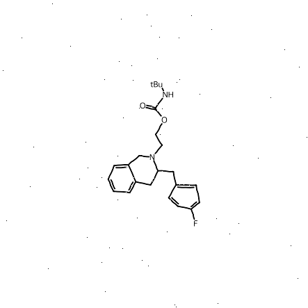 CC(C)(C)NC(=O)OCCN1Cc2ccccc2CC1Cc1ccc(F)cc1